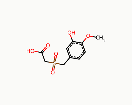 COc1ccc(CS(=O)(=O)CC(=O)O)cc1O